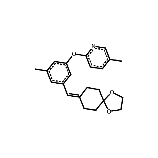 Cc1ccc(Oc2cc(C)cc(C=C3CCC4(CC3)OCCO4)c2)nc1